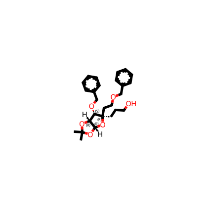 CC1(C)O[C@H]2O[C@](CCCO)(CCOCc3ccccc3)[C@@H](OCc3ccccc3)[C@H]2O1